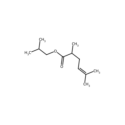 CC(C)=CCC(C)C(=O)OCC(C)C